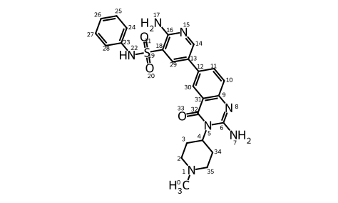 CN1CCC(n2c(N)nc3ccc(-c4cnc(N)c(S(=O)(=O)Nc5ccccc5)c4)cc3c2=O)CC1